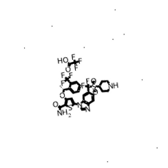 C[C@@H](Oc1cc(-n2cnc3ccc(C(F)(F)S(=O)(=O)C4CCNCC4)cc32)sc1C(N)=O)c1ccccc1C(F)(F)F.O=C(O)C(F)(F)F